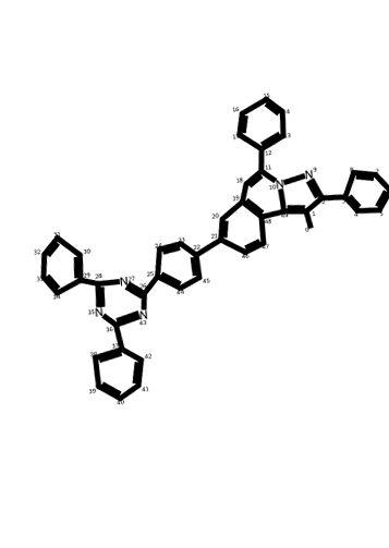 Cc1c(-c2ccccc2)nn2c(-c3ccccc3)cc3cc(-c4ccc(-c5nc(-c6ccccc6)nc(-c6ccccc6)n5)cc4)ccc3c12